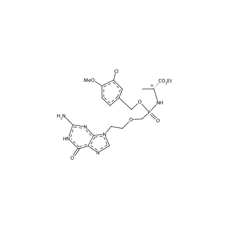 CCOC(=O)[C@@H](C)NP(=O)(COCCn1cnc2c(=O)[nH]c(N)nc21)OCc1ccc(OC)c(Cl)c1